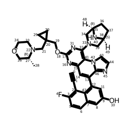 C#Cc1c(F)ccc2cc(O)cc(-c3cc4nc(OCC5(CN6CCOC[C@H]6C)CC5)nc(N5C[C@H]6CC[C@@H](C5)N6)c4n4ccnc34)c12